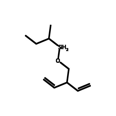 C=CC(C=C)CO[SiH2]C(C)CC